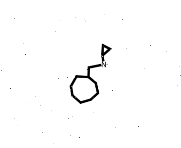 C1CCCC(C[N]C2CC2)CCC1